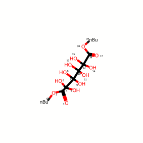 CCCCOC(=O)C(O)(O)C(O)(O)C(O)(O)C(O)(O)C(=O)OCCCC